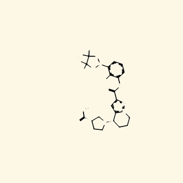 COC(=O)[C@@H]1CCN([C@@H]2CCCn3nc(C(=O)Nc4cccc(B5OC(C)(C)C(C)(C)O5)c4C)cc32)C1